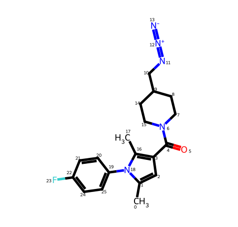 Cc1cc(C(=O)N2CCC(CN=[N+]=[N-])CC2)c(C)n1-c1ccc(F)cc1